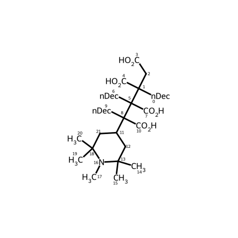 CCCCCCCCCCC(CC(=O)O)(C(=O)O)C(CCCCCCCCCC)(C(=O)O)C(CCCCCCCCCC)(C(=O)O)C1CC(C)(C)N(C)C(C)(C)C1